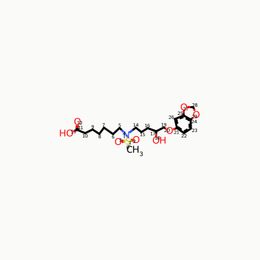 CS(=O)(=O)N(CCCCCCC(=O)O)CCCC(O)COc1ccc2c(c1)OCO2